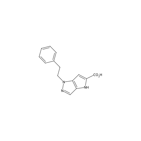 O=C(O)c1cc2c(cnn2CCc2ccccc2)[nH]1